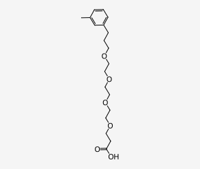 Cc1cccc(CCCOCCOCCOCCOCCC(=O)O)c1